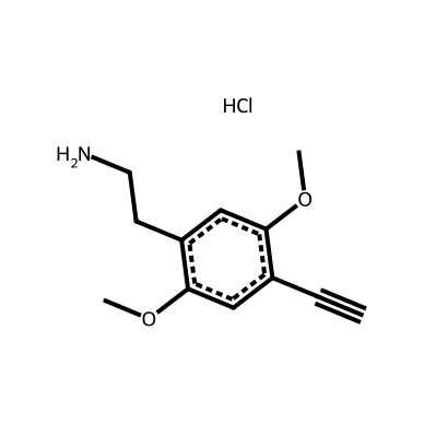 C#Cc1cc(OC)c(CCN)cc1OC.Cl